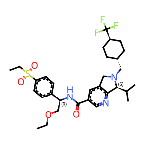 CCOC[C@H](NC(=O)c1cnc2c(c1)CN(C[C@H]1CC[C@H](C(F)(F)F)CC1)[C@H]2C(C)C)c1ccc(S(=O)(=O)CC)cc1